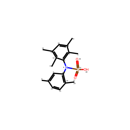 Cc1[c]c(N(c2c(C)c(C)cc(C)c2C)S(=O)(=O)O)c(C)cc1